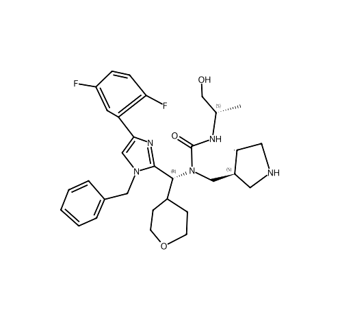 C[C@@H](CO)NC(=O)N(C[C@H]1[CH]CNC1)[C@@H](c1nc(-c2cc(F)ccc2F)cn1Cc1ccccc1)C1CCOCC1